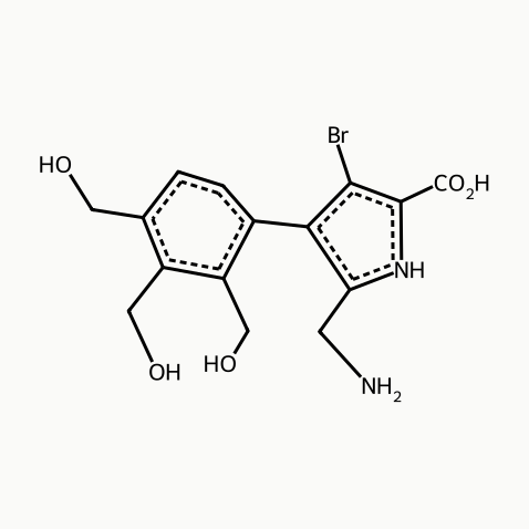 NCc1[nH]c(C(=O)O)c(Br)c1-c1ccc(CO)c(CO)c1CO